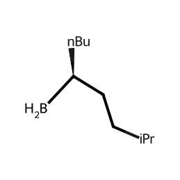 B[C@@H](CCCC)CCC(C)C